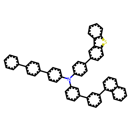 c1ccc(-c2ccc(-c3ccc(N(c4ccc(-c5ccc6sc7ccccc7c6c5)cc4)c4cccc(-c5cccc(-c6cccc7ccccc67)c5)c4)cc3)cc2)cc1